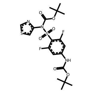 CC(C)(C)OC(=O)Nc1cc(F)c(S(=O)(=O)N(C(=O)OC(C)(C)C)c2cscn2)c(F)c1